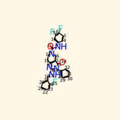 O=C(Nc1ccc(F)c(F)c1)N1CCc2nc(NCc3ccccc3F)n(-c3ccccc3)c(=O)c2C1